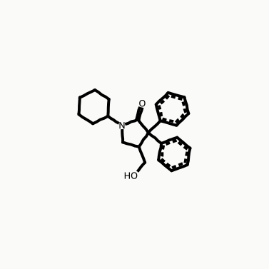 O=C1N(C2CCCCC2)CC(CO)C1(c1ccccc1)c1ccccc1